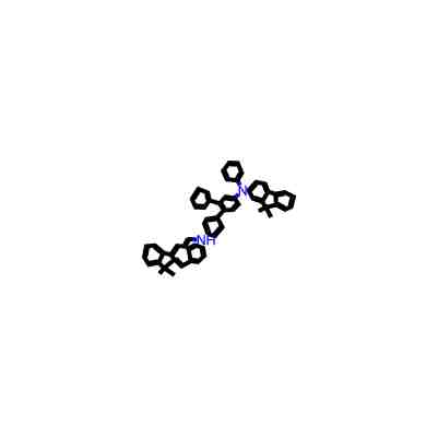 CC1(C)C(=C/c2ccccc2)/C(=C\C=C\Nc2ccc(-c3ccc(N(c4ccccc4)c4ccc5c(c4)C(C)(C)c4ccccc4-5)cc3-c3ccccc3)cc2)c2ccccc21